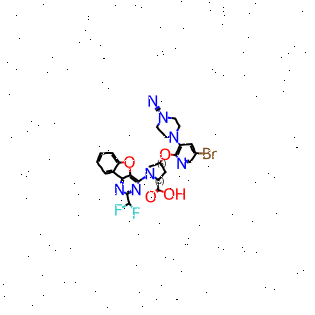 N#CN1CCN(c2cc(Br)cnc2O[C@H]2C[C@@H](C(=O)O)N(c3nc(C(F)F)nc4c3oc3ccccc34)C2)CC1